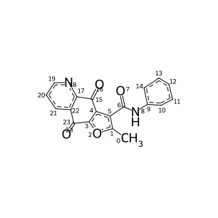 Cc1oc2c(c1C(=O)Nc1ccccc1)C(=O)c1ncccc1C2=O